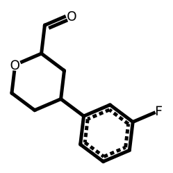 O=CC1CC(c2cccc(F)c2)CCO1